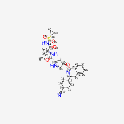 C=C[C@@H]1C[C@]1(NC(=O)[C@@H]1C[C@@H](Oc2nc(-c3ccc(C#N)cc3)cc3ccccc23)CN1)C(=O)NS(=O)(=O)C1CC1